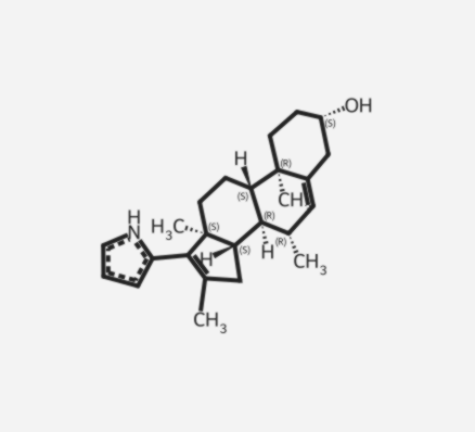 CC1=C(c2ccc[nH]2)[C@@]2(C)CC[C@H]3[C@@H]([C@@H](C)C=C4C[C@@H](O)CC[C@@]43C)[C@@H]2C1